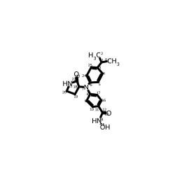 CC(C)c1ccc(N(c2ccc(C(=O)NO)cc2)C2CCNC2=O)cc1